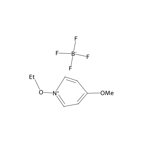 CCO[n+]1ccc(OC)cc1.F[B-](F)(F)F